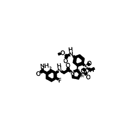 CCS(=O)(=O)c1ccc(NC(=O)OC)cc1[C@H]1[C@H](C(=O)O)CCN1C(=O)CNc1cc(C(N)=O)ccc1F